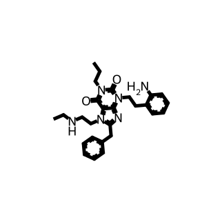 CCCn1c(=O)c2c(nc(Cc3ccccc3)n2CCNCC)n(CCc2ccccc2N)c1=O